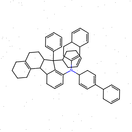 C1=CCC(C2=CCC(N(C3=CC4C=CC=CC4CC3)C3=C4C(CC=C3)C3C5=C(CCCC5)CCC3C4(c3ccccc3)C3CC=CCC3)C=C2)C=C1